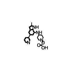 Cc1cc2cc(-c3cccnc3)cc(NC3CCN(OC(=O)O)CC3)c2[nH]1